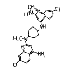 CNc1cc(NC2CCC(N(C)c3cc(N)c4ccc(Cl)cc4n3)CC2)c2ccc(Cl)cc2n1